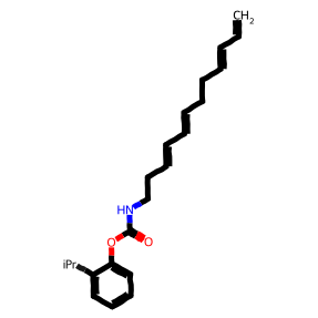 C=C/C=C/CC/C=C/C=C/CCNC(=O)Oc1ccccc1C(C)C